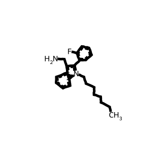 CCCCCCCCn1c(-c2ccccc2F)c(CN)c2ccccc21